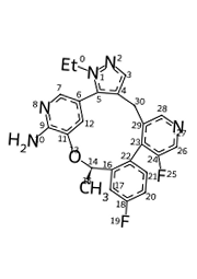 CCn1ncc2c1-c1cnc(N)c(c1)O[C@H](C)c1cc(F)ccc1-c1c(F)cncc1C2